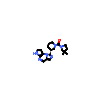 CC1(C)CCN(C(=O)N2CCC[C@@H](c3ncc4cnc5[nH]ccc5n34)C2)C1